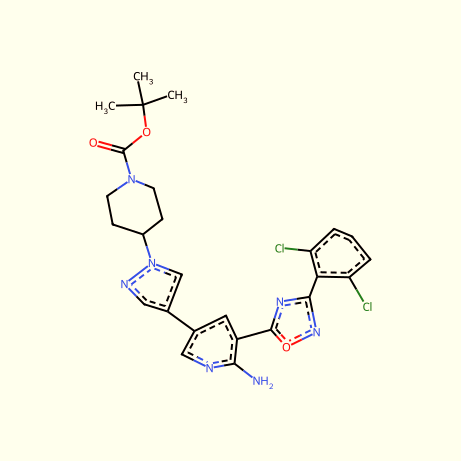 CC(C)(C)OC(=O)N1CCC(n2cc(-c3cnc(N)c(-c4nc(-c5c(Cl)cccc5Cl)no4)c3)cn2)CC1